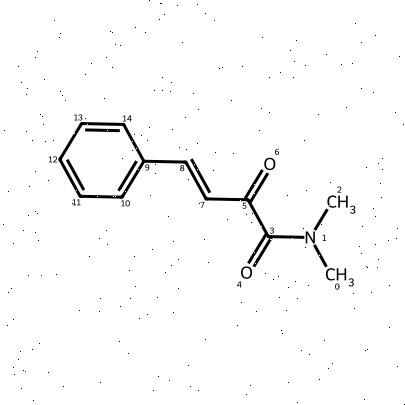 CN(C)C(=O)C(=O)/C=C/c1ccccc1